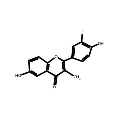 Cc1c(-c2ccc(O)c(F)c2)oc2ccc(O)cc2c1=O